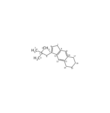 CS(C)(C)CC1=CCc2cc3c(cc21)CCCC3